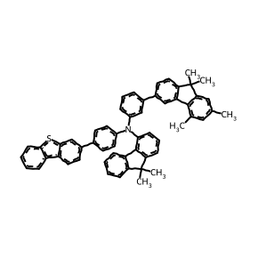 Cc1cc(C)c2c(c1)C(C)(C)c1ccc(-c3cccc(N(c4ccc(-c5ccc6c(c5)sc5ccccc56)cc4)c4cccc5c4-c4ccccc4C5(C)C)c3)cc1-2